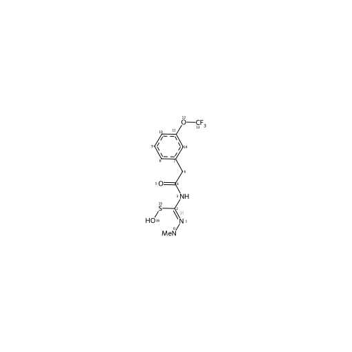 CN/N=C(/NC(=O)Cc1cccc(OC(F)(F)F)c1)SO